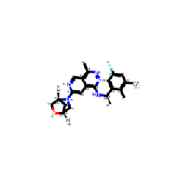 Cc1c([C@@H](C)Nc2nnc(C)c3cnc(N4C[C@H]5C[C@@H]4CO5)cc23)cc(F)cc1C(F)(F)F